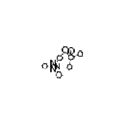 c1ccc(-c2cc(-c3ccccc3)c3oc4cccc(-c5ccc(-c6nc(-c7ccccc7)nc(-c7ccccc7)n6)cc5)c4c3c2)cc1